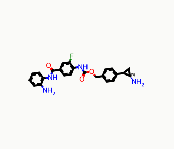 Nc1ccccc1NC(=O)c1ccc(NC(=O)OCc2ccc(C3C[C@@H]3N)cc2)c(F)c1